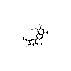 Cc1[nH]c(=O)c(C#N)cc1-c1ccc2c(c1)N(C)C(=O)CN2